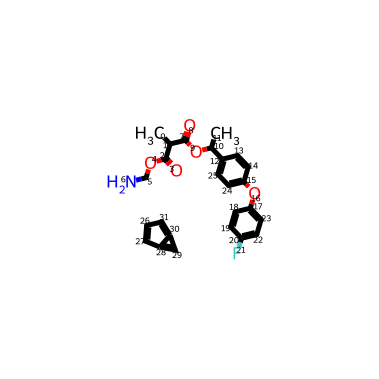 CC(C(=O)OCN)C(=O)OC(C)c1ccc(Oc2ccc(F)cc2)cc1.c1cc2cc-2c1